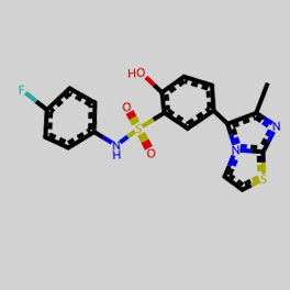 Cc1nc2sccn2c1-c1ccc(O)c(S(=O)(=O)Nc2ccc(F)cc2)c1